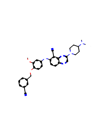 COc1cc(Nc2ccc3ncc(N4CCC(N(C)C)CC4)nc3c2C#N)ccc1OCc1cccc(C#N)c1